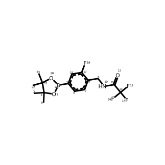 CC1(C)OB(c2ccc(CNC(=O)C(F)(F)F)c(F)c2)OC1(C)C